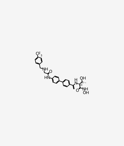 C=C(N[C@H](C(=O)NO)[C@@H](C)O)c1ccc(-c2ccc(NC(=O)CNCc3ccc(C(F)(F)F)cc3)cc2)cc1